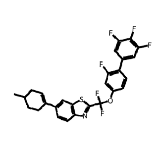 CC1CC=C(c2ccc3nc(C(F)(F)Oc4ccc(-c5cc(F)c(F)c(F)c5)c(F)c4)sc3c2)CC1